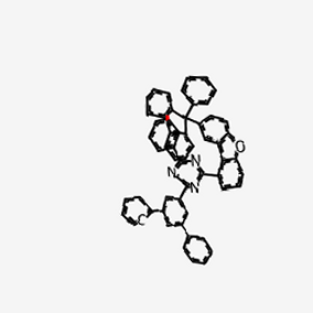 c1ccc(-c2cc(-c3ccccc3)cc(-c3nc(-c4ccccc4)nc(-c4cccc5oc6ccc(C7(c8ccccc8)c8ccccc8-c8ccccc87)cc6c45)n3)c2)cc1